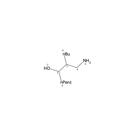 CCCCCC(O)C(CN)CCCC